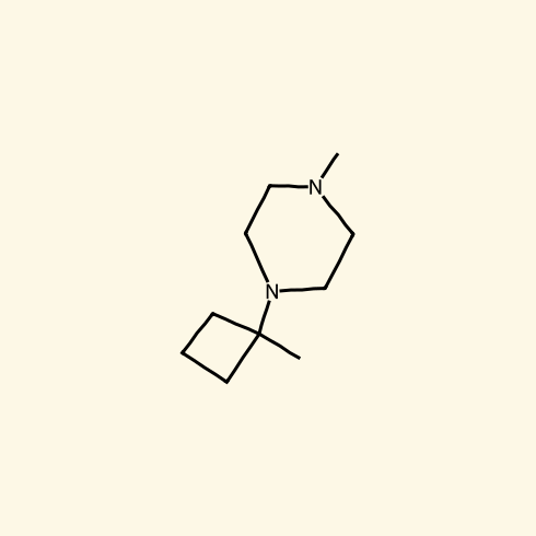 CN1CCN(C2(C)CCC2)CC1